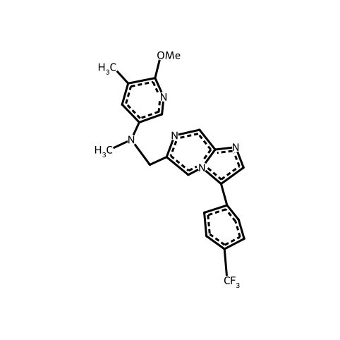 COc1ncc(N(C)Cc2cn3c(-c4ccc(C(F)(F)F)cc4)cnc3cn2)cc1C